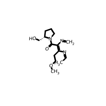 C=N/C(C(=O)N1CCC[C@H]1CO)=C(CCOC)\N=C/C